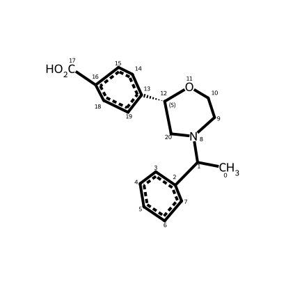 CC(c1ccccc1)N1CCO[C@@H](c2ccc(C(=O)O)cc2)C1